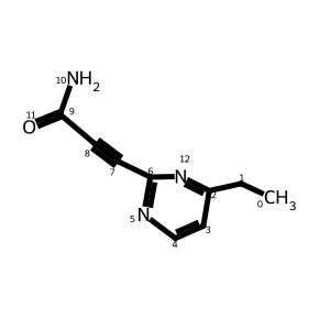 CCc1ccnc(C#CC(N)=O)n1